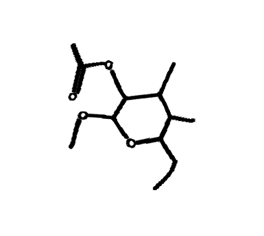 CCC1OC(OC)C(OC(C)=O)C(C)C1C